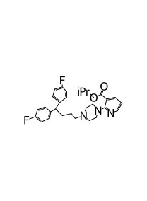 CC(C)OC(=O)c1cccnc1N1CCN(CCCC(c2ccc(F)cc2)c2ccc(F)cc2)CC1